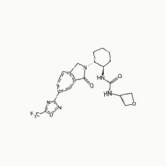 O=C(NC1COC1)N[C@@H]1CCCC[C@H]1N1Cc2ccc(-c3noc(C(F)(F)F)n3)cc2C1=O